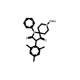 CON1CCC2(CC1)C(=O)C(c1c(C)cc(C)cc1C)C(=O)N2c1ccccc1